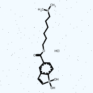 CN(C)CCCCCCOC(=O)c1ccc2c(c1)C=CS2(O)O.Cl